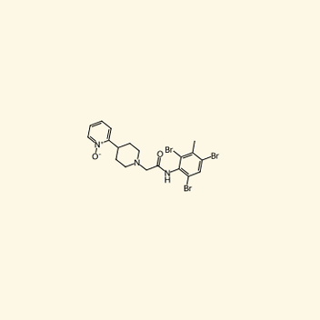 Cc1c(Br)cc(Br)c(NC(=O)CN2CCC(c3cccc[n+]3[O-])CC2)c1Br